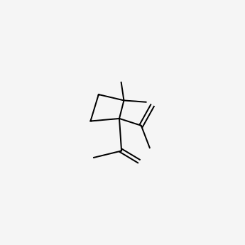 C=C(C)C1(C(=C)C)CCC1(C)C